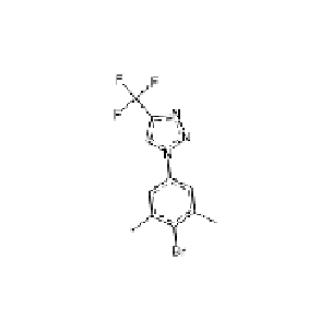 Cc1cc(-n2cc(C(F)(F)F)nn2)cc(C)c1Br